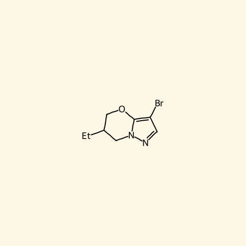 CCC1COc2c(Br)cnn2C1